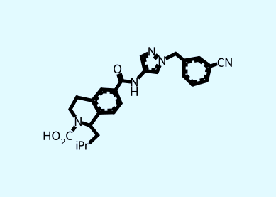 CC(C)CC1c2ccc(C(=O)Nc3cnn(Cc4cccc(C#N)c4)c3)cc2CCN1C(=O)O